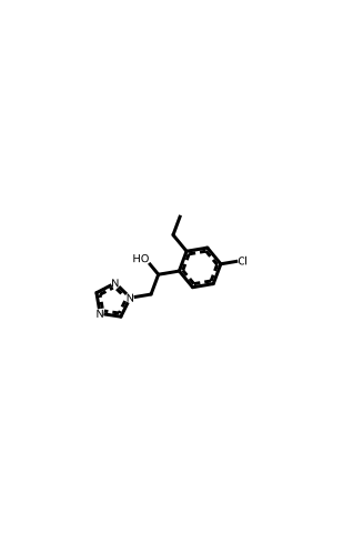 CCc1cc(Cl)ccc1C(O)Cn1cncn1